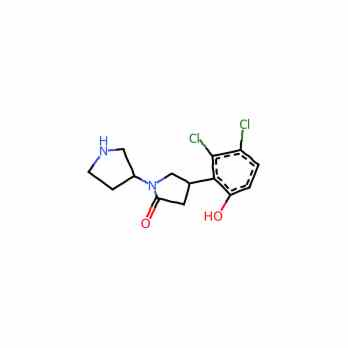 O=C1CC(c2c(O)ccc(Cl)c2Cl)CN1C1CCNC1